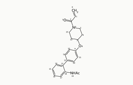 C=CC(=O)N1CCC(Oc2ccc(-c3ccccc3NC(C)=O)cc2)CC1